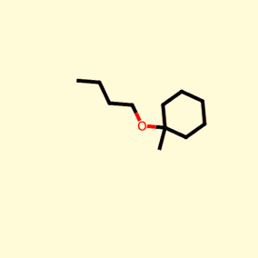 CCCCOC1(C)CCCCC1